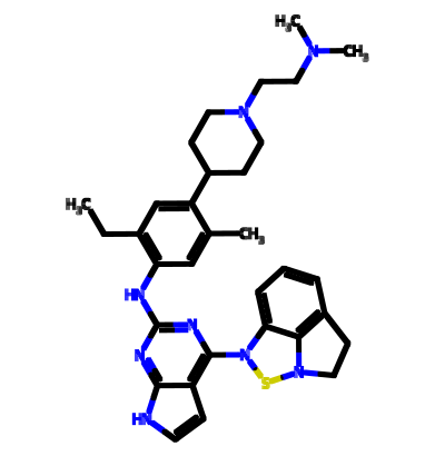 CCc1cc(C2CCN(CCN(C)C)CC2)c(C)cc1Nc1nc(N2SN3CCc4cccc2c43)c2cc[nH]c2n1